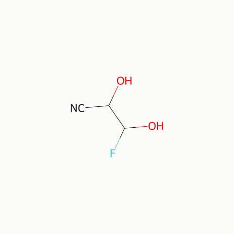 N#CC(O)C(O)F